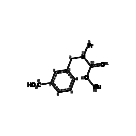 CC(C)N(Cc1cccc(C(=O)O)c1)C(=O)OC(C)(C)C